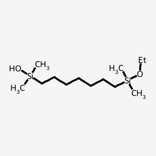 CCO[Si](C)(C)CCCCCCC[Si](C)(C)O